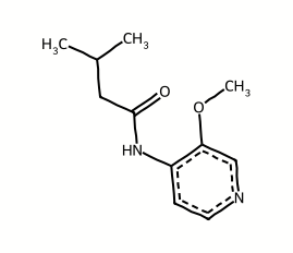 COc1cnccc1NC(=O)CC(C)C